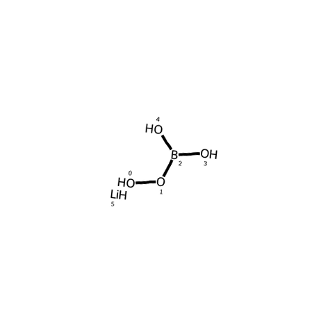 OOB(O)O.[LiH]